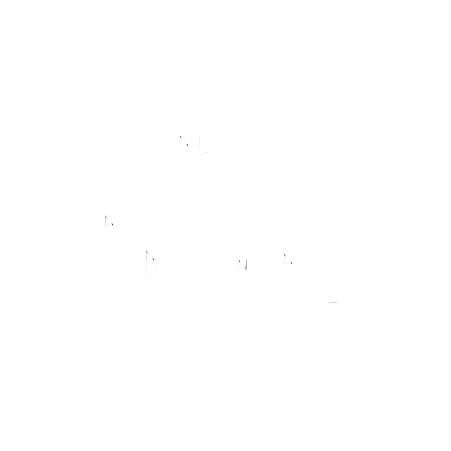 Cn1ccc(-c2[nH]ncc2N)n1